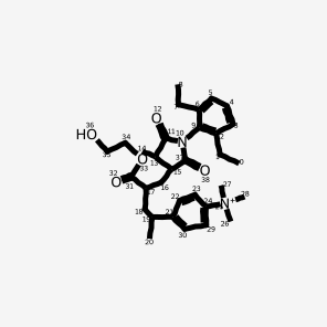 CCc1cccc(CC)c1N1C(=O)C(C)C(CC(CC(C)c2ccc([N+](C)(C)C)cc2)C(=O)OCCO)C1=O